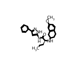 CCC[C@H](NC1CCc2ccc(OC)cc2C1)C(=O)Nc1cc(-c2ccccc2)n[nH]1